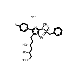 CC(C)n1c(N(C)S(=O)(=O)Cc2ccccc2)nc(-c2ccc(F)cc2)c1CC[C@@H](O)C[C@@H](O)CC(=O)[O-].[Na+]